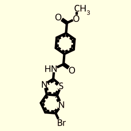 COC(=O)c1ccc(C(=O)Nc2nc3ccc(Br)nc3s2)cc1